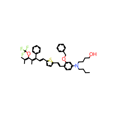 CCCCN(CCCCO)c1ccc(/C=C/c2ccc(/C=C/C(=C(\C)C(OC(F)(F)F)=C(C)C)c3ccccc3)s2)c(OCc2ccccc2)c1